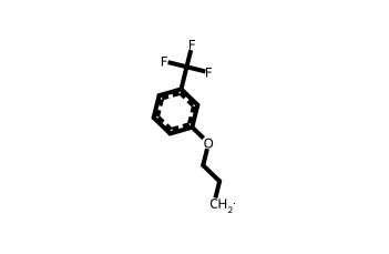 [CH2]CCOc1cccc(C(F)(F)F)c1